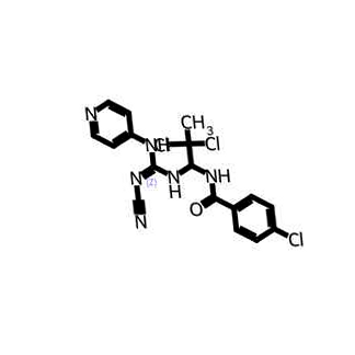 CC(Cl)(Cl)C(NC(=O)c1ccc(Cl)cc1)N/C(=N\C#N)Nc1ccncc1